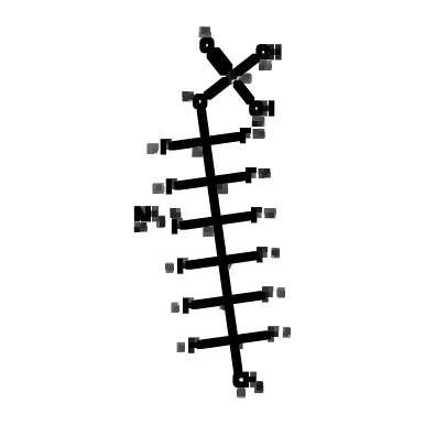 CC(F)(F)C(F)(F)C(F)(F)C(F)(F)C(F)(F)C(F)(F)OP(=O)(O)O.N